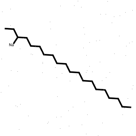 CCCCCCCCCCCCCCCCC[CH]([Na])CC